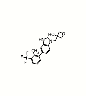 Cc1c(-c2ccc3c(c2)NCN3CC2(O)COC2)cccc1C(F)(F)F